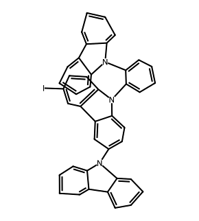 Ic1ccc2c(c1)c1cc(-n3c4ccccc4c4ccccc43)ccc1n2-c1ccccc1-n1c2ccccc2c2ccccc21